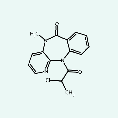 CC(Cl)C(=O)N1c2ccccc2C(=O)N(C)c2cccnc21